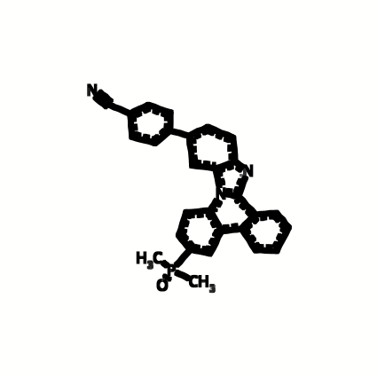 CP(C)(=O)c1ccc2c(c1)c1ccccc1c1nc3ccc(-c4ccc(C#N)cc4)cc3n21